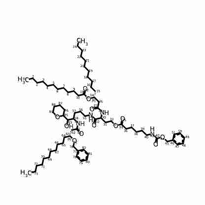 CCCCCCCCCCCC(=O)O[C@H](CCCCCCCCCCC)CC(=O)NC(CCOC(=O)CCCCCNC(=O)OCc1ccccc1)C(=O)NCCCC(NC(=O)C[C@@H](CCCCCCCCCCC)OCc1ccccc1)C(O)C1CCCCO1